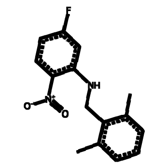 Cc1cccc(C)c1CNc1cc(F)ccc1[N+](=O)[O-]